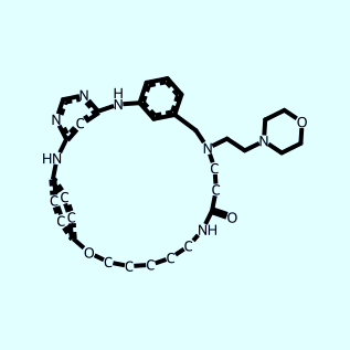 O=C1CCN(CCN2CCOCC2)Cc2cccc(c2)Nc2cc(ncn2)Nc2ccc(cc2)OCCCCCN1